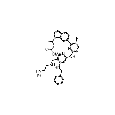 CCNCCNCc1cnc(Nc2ncc(F)c(-c3ccc4ccn(C(C)CC(=O)OC)c4c3)n2)cc1NCc1ccccc1